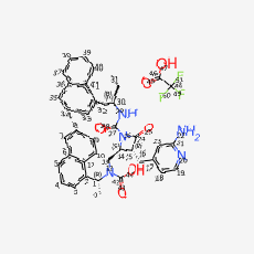 C[C@H](c1cccc2ccccc12)N(C[C@@H]1[C@@H](Cc2ccnc(N)c2)C(=O)N1C(=O)N[C@H](C)c1cccc2ccccc12)C(=O)O.O=C(O)C(F)(F)F